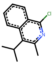 Cc1nc(Cl)c2ccccc2c1C(C)C